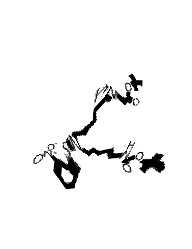 CC(C)(C)OC(=O)NCCCCCCN(CCCCCNC(=O)OC(C)(C)C)Sc1ccccc1[N+](=O)[O-]